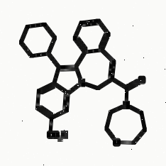 O=C(O)c1ccc2c(C3CCCCC3)c3n(c2c1)CC(C(=O)N1CCCOCC1)=Cc1ccccc1-3